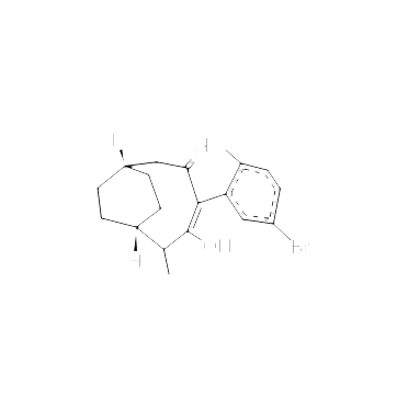 CCc1ccc(Br)cc1/C1=C(\O)C(C)[C@H]2CC[C@H](CC2)CC1=O